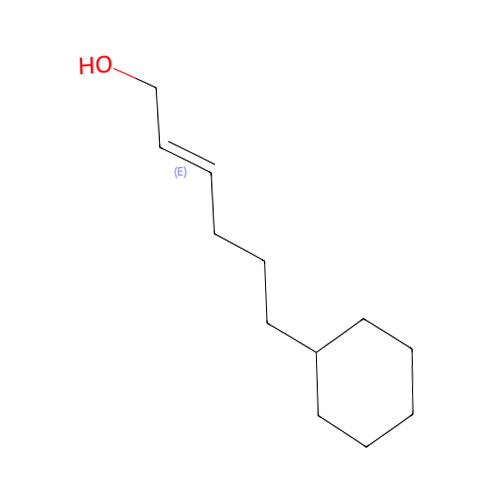 OC/C=C/CCCC1CCCCC1